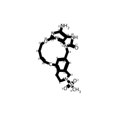 CS(=O)(=O)N1CCc2c3cc(cc2C1)Cn1c(=O)[nH]c2c(N)nc(nc21)OCCC=CC3